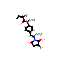 C/C=C(/Br)C(=O)N(C=O)c1ccc(C[C@@H](C(=O)O)N2C(=O)C=C(Br)C2=O)cc1